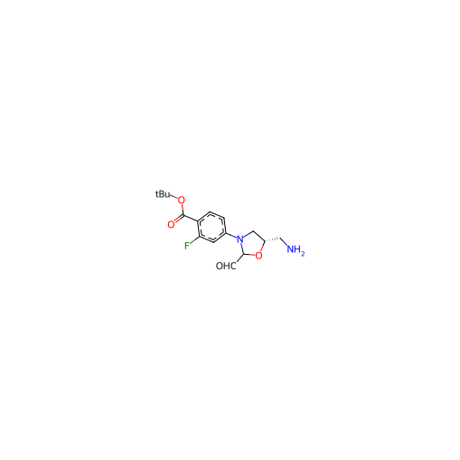 CC(C)(C)OC(=O)c1ccc(N2C[C@H](CN)OC2C=O)cc1F